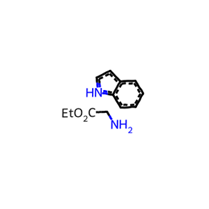 CCOC(=O)CN.c1ccc2[nH]ccc2c1